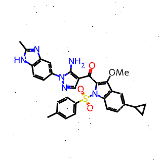 COc1c(C(=O)c2cnn(-c3ccc4[nH]c(C)nc4c3)c2N)n(S(=O)(=O)c2ccc(C)cc2)c2ccc(C3CC3)cc12